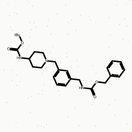 CC(C)(C)OC(=O)NC1CCN(Cc2cccc(CNC(=O)OCc3ccccc3)c2)CC1